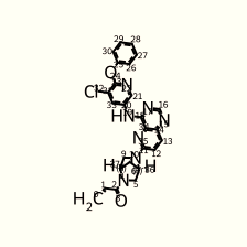 C=CC(=O)N1C[C@H]2C[C@@H]1CN2c1ccc2ncnc(Nc3cnc(Oc4ccccc4)c(Cl)c3)c2n1